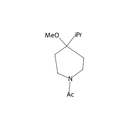 COC1(C(C)C)CCN(C(C)=O)CC1